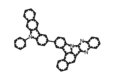 c1ccc(-n2c3ccc(-c4ccc5c(c4)c4c6ccccc6cc6c7nc8ccccc8nc7n5c64)cc3c3cc4ccccc4cc32)cc1